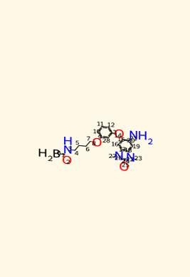 BC(=O)NCCCCOc1cccc(Oc2cc3c(cc2N)n(C)c(=O)n3C)c1